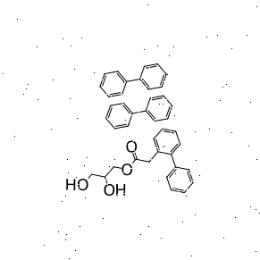 O=C(Cc1ccccc1-c1ccccc1)OCC(O)CO.c1ccc(-c2ccccc2)cc1.c1ccc(-c2ccccc2)cc1